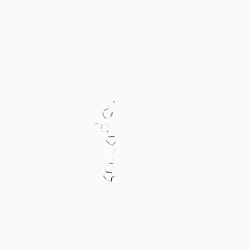 COC(=O)C1CC(c2ccc(/C=N/NC(=S)Nc3c(Cl)cccc3Cl)cc2)=NN1c1ccc(OC(F)(F)F)cc1